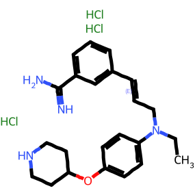 CCN(C/C=C/c1cccc(C(=N)N)c1)c1ccc(OC2CCNCC2)cc1.Cl.Cl.Cl